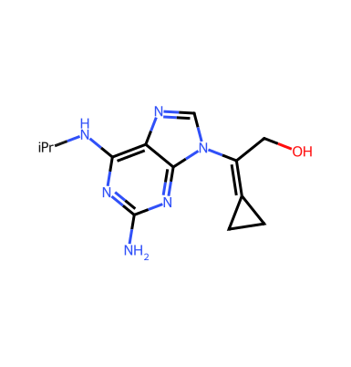 CC(C)Nc1nc(N)nc2c1ncn2C(CO)=C1CC1